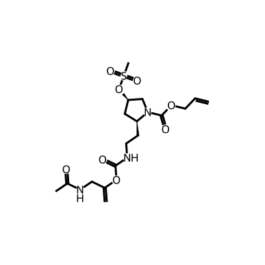 C=CCOC(=O)N1C[C@H](OS(C)(=O)=O)C[C@@H]1CCNC(=O)OC(=C)CNC(C)=O